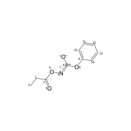 CCC(=O)O/N=[P+](\[O-])Oc1ccccc1